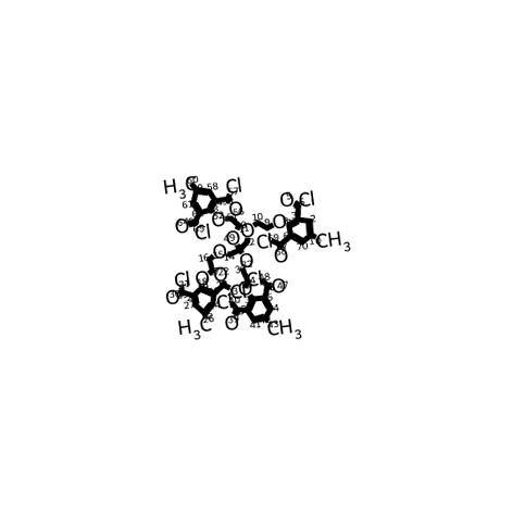 Cc1cc(C(=O)Cl)c(OCCOCC(COCCOc2c(C(=O)Cl)cc(C)cc2C(=O)Cl)(OCCOc2c(C(=O)Cl)cc(C)cc2C(=O)Cl)OCCOc2c(C(=O)Cl)cc(C)cc2C(=O)Cl)c(C(=O)Cl)c1